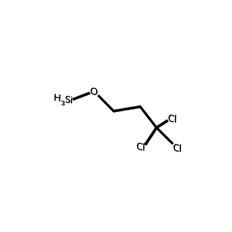 [SiH3]OCCC(Cl)(Cl)Cl